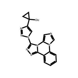 OC1(c2cn(-c3nnc4c5ccccc5n5cncc5n34)nn2)CC1